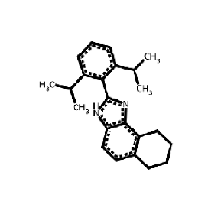 CC(C)c1cccc(C(C)C)c1-c1nc2c3c(ccc2[nH]1)CCCC3